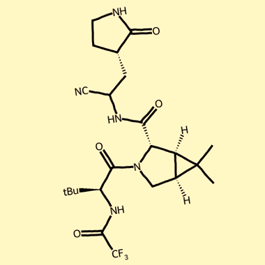 CC(C)(C)[C@H](NC(=O)C(F)(F)F)C(=O)N1C[C@H]2[C@@H]([C@H]1C(=O)NC(C#N)C[C@@H]1CCNC1=O)C2(C)C